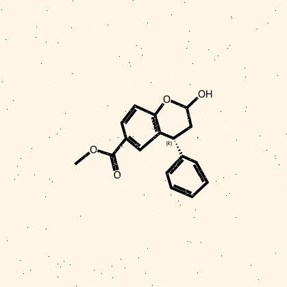 COC(=O)c1ccc2c(c1)[C@@H](c1ccccc1)CC(O)O2